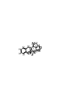 N=C(c1nonc1N)N(O)Cc1ccccc1C(F)(F)F